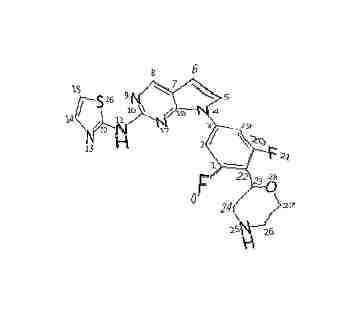 Fc1cc(-n2ccc3cnc(Nc4nccs4)nc32)cc(F)c1C1CNCCO1